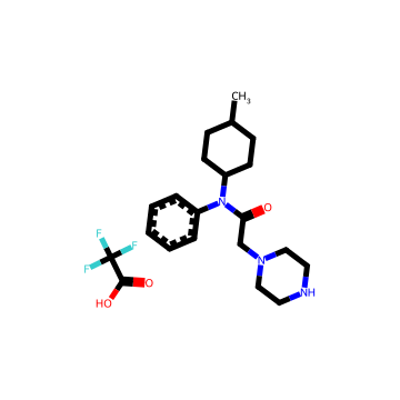 CC1CCC(N(C(=O)CN2CCNCC2)c2ccccc2)CC1.O=C(O)C(F)(F)F